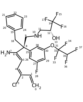 C=C/C(Cl)=C\C=C(/N)[C@](CNC[C@@H](O)C(F)(F)F)(Cc1ccccc1)c1cc(F)cc(OC(F)(F)C(F)F)c1